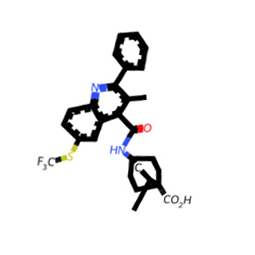 Cc1c(-c2ccccc2)nc2ccc(SC(F)(F)F)cc2c1C(=O)NC12CCC(C(=O)O)(CC1)C(C)C2